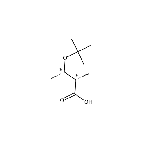 C[C@H](OC(C)(C)C)[C@H](C)C(=O)O